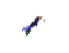 Fc1ccc(NC(=S)N/N=C/c2ccc3c(ccc4c3ncn4-c3ccc(OC(F)(F)F)cc3)c2)c(F)c1